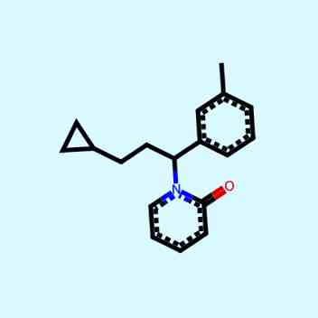 Cc1cccc(C(CCC2CC2)n2ccccc2=O)c1